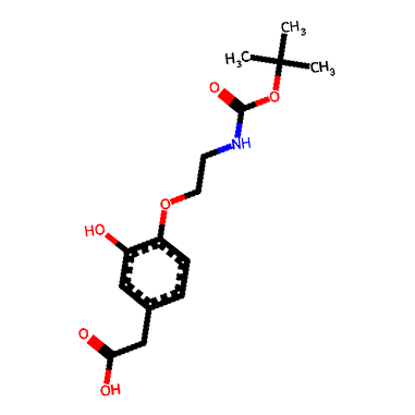 CC(C)(C)OC(=O)NCCOc1ccc(CC(=O)O)cc1O